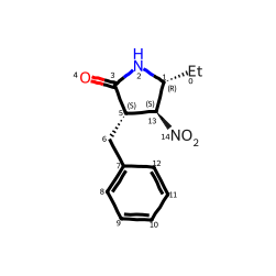 CC[C@H]1NC(=O)[C@@H](Cc2ccccc2)[C@@H]1[N+](=O)[O-]